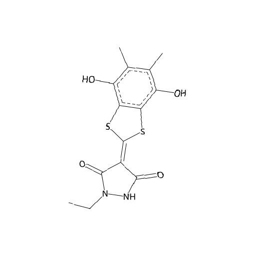 CCN1NC(=O)C(=C2Sc3c(O)c(C)c(C)c(O)c3S2)C1=O